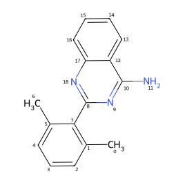 Cc1cccc(C)c1-c1nc(N)c2ccccc2n1